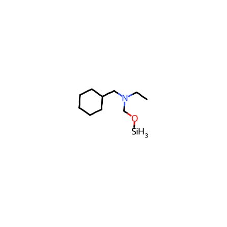 CCN(CO[SiH3])CC1CCCCC1